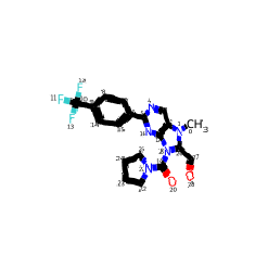 CN1c2cnc(-c3ccc(C(F)(F)F)cc3)nc2N(C(=O)N2CCCC2)C1C=O